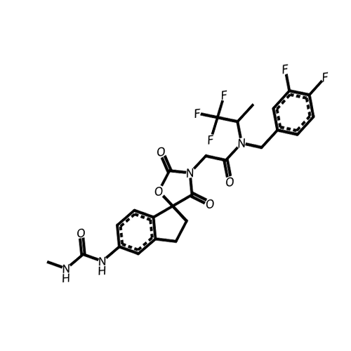 CNC(=O)Nc1ccc2c(c1)CCC21OC(=O)N(CC(=O)N(Cc2ccc(F)c(F)c2)C(C)C(F)(F)F)C1=O